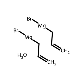 C=C[CH2][Mg][Br].C=C[CH2][Mg][Br].O